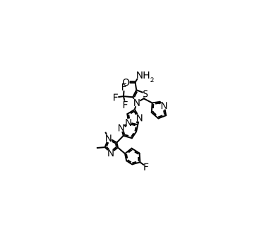 Cc1nc(-c2ccc(F)cc2)c(-c2ccc3nc(N4C(C(F)(F)F)=C(C(N)=O)SC4c4cccnc4)cn3n2)n1C